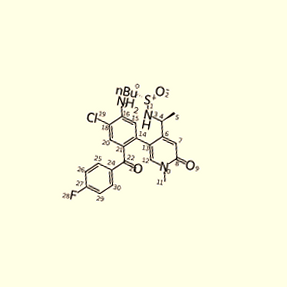 CCCC[S@+]([O-])N[C@@H](C)c1cc(=O)n(C)cc1-c1cc(N)c(Cl)cc1C(=O)c1ccc(F)cc1